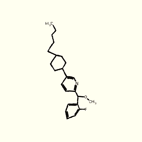 CCCCCC1CCC(c2ccc(C(OC)c3ccccc3F)nc2)CC1